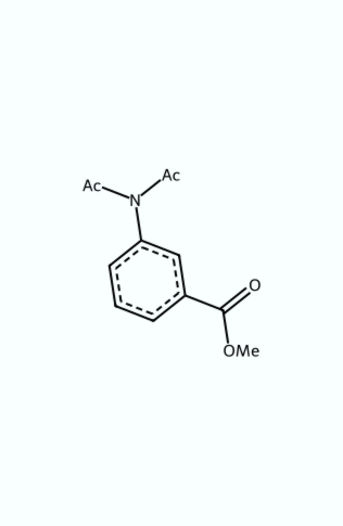 COC(=O)c1cccc(N(C(C)=O)C(C)=O)c1